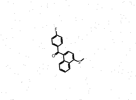 CSc1ccc(C(=O)c2ccc(F)cc2)c2ccccc12